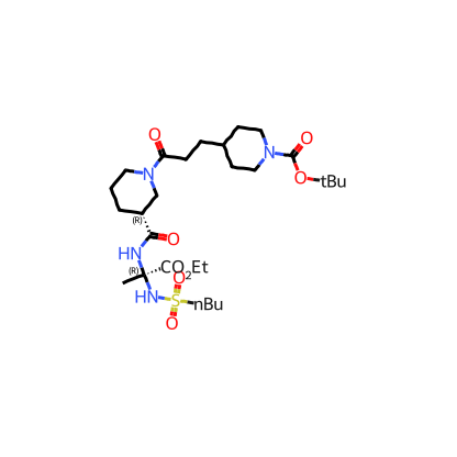 CCCCS(=O)(=O)N[C@@](C)(NC(=O)[C@@H]1CCCN(C(=O)CCC2CCN(C(=O)OC(C)(C)C)CC2)C1)C(=O)OCC